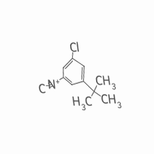 [C-]#[N+]c1cc(Cl)cc(C(C)(C)C)c1